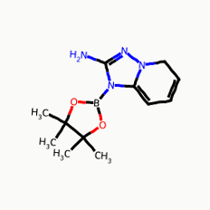 CC1(C)OB(N2C3=CC=CCN3N=C2N)OC1(C)C